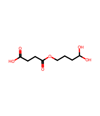 O=C(O)CCC(=O)OCCCC(O)O